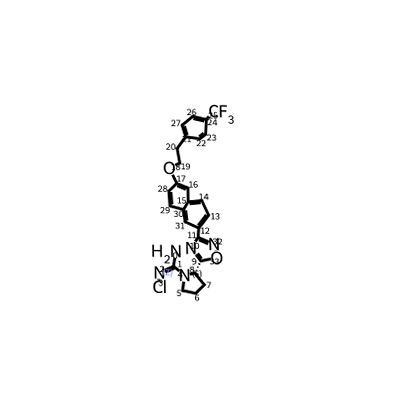 N/C(=N/Cl)N1CCC[C@H]1c1nc(-c2ccc3cc(OCCc4ccc(C(F)(F)F)cc4)ccc3c2)no1